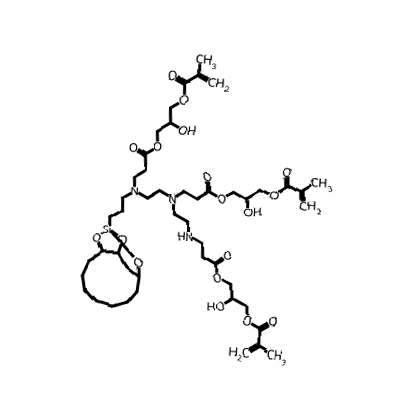 C=C(C)C(=O)OCC(O)COC(=O)CCNCCN(CCC(=O)OCC(O)COC(=O)C(=C)C)CCN(CCC[Si]12OC3CCCCCCCC(O1)C(C3)O2)CCC(=O)OCC(O)COC(=O)C(=C)C